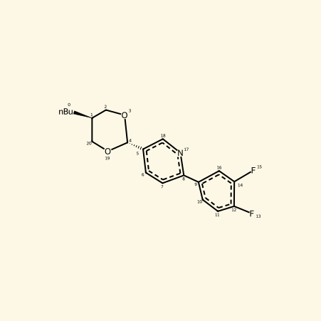 CCCC[C@H]1CO[C@H](c2ccc(-c3ccc(F)c(F)c3)nc2)OC1